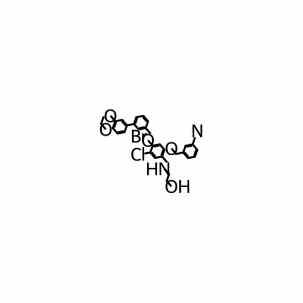 N#Cc1cccc(COc2cc(OCc3cccc(-c4ccc5c(c4)OCCO5)c3Br)c(Cl)cc2CNCCO)c1